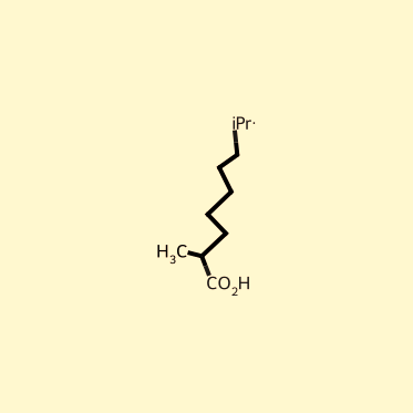 C[C](C)CCCCCC(C)C(=O)O